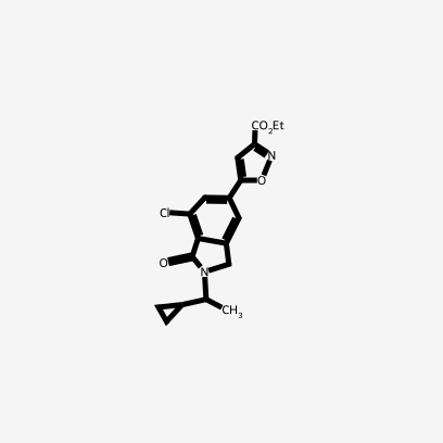 CCOC(=O)c1cc(-c2cc(Cl)c3c(c2)CN(C(C)C2CC2)C3=O)on1